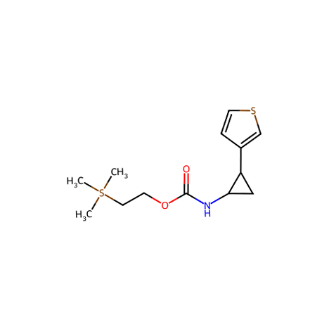 CS(C)(C)CCOC(=O)NC1CC1c1ccsc1